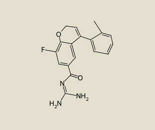 Cc1ccccc1C1=CCOc2c(F)cc(C(=O)N=C(N)N)cc21